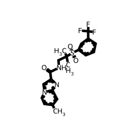 Cc1ccn2cc(C(=O)NCC(C)(C)S(=O)(=O)c3cccc(C(F)(F)F)c3)nc2c1